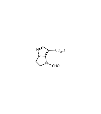 CCOC(=O)c1cnn2c1N(C=O)CC2